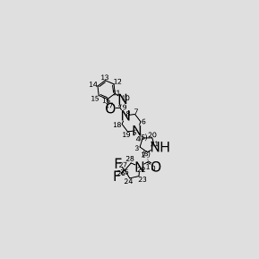 O=C([C@@H]1C[C@H](N2CCN(c3nc4ccccc4o3)CC2)CN1)N1CCC(F)(F)C1